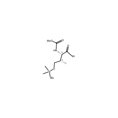 COC(=O)N[C@H](C(=O)C(C)C)[C@H](C)CO[Si](C)(C)C(C)(C)C